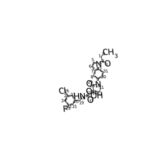 CCC(=O)n1ccc2cc(N3CCC(O)(OC(=O)NCc4cc(F)cc(Cl)c4)C3=O)ccc21